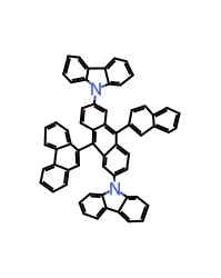 c1ccc2cc(-c3c4cc(-n5c6ccccc6c6ccccc65)ccc4c(-c4cc5ccccc5c5ccccc45)c4cc(-n5c6ccccc6c6ccccc65)ccc34)ccc2c1